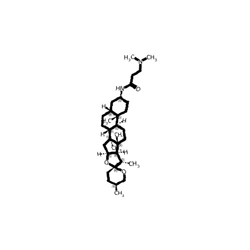 C[C@H]1CC[C@@]2(OC1)O[C@H]1C[C@@]3(C)[C@@H]4CC[C@@H]5C[C@@H](NC(=O)CCN(C)C)CC[C@]5(C)[C@H]4CC[C@]3(C)[C@H]1[C@@H]2C